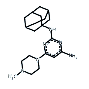 CN1CCN(c2cc(N)nc(NC34CC5CC(CC(C5)C3)C4)n2)CC1